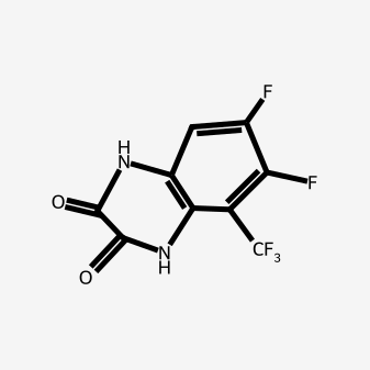 O=c1[nH]c2cc(F)c(F)c(C(F)(F)F)c2[nH]c1=O